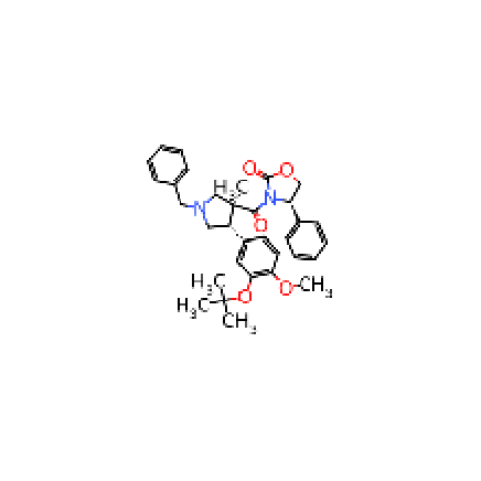 COc1ccc([C@@H]2CN(Cc3ccccc3)C[C@@]2(C)C(=O)N2C(=O)OC[C@H]2c2ccccc2)cc1OC(C)(C)C